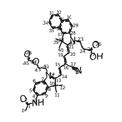 CC(=O)Nc1ccc2c(c1)C(C)(C)C(/C=C/C(C#N)=C/C=C1/N(CCC(=O)O)c3ccc4ccccc4c3C1(C)C)=[N+]2CCOC=O